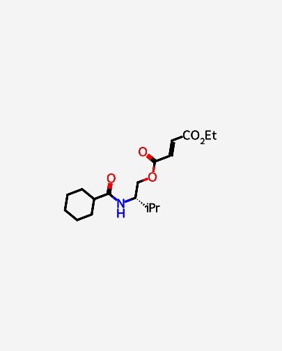 CCOC(=O)/C=C/C(=O)OC[C@@H](NC(=O)C1CCCCC1)C(C)C